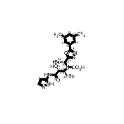 CCCC[C@@H]([C@@H](O)C(=O)Nc1ccn[nH]1)N(C(=O)O)[C@H](c1nnc(-c2cc(C(F)(F)F)cc(C(F)(F)F)c2)o1)C(C)(C)C